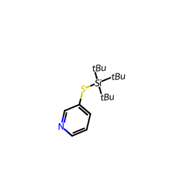 CC(C)(C)[Si](Sc1cccnc1)(C(C)(C)C)C(C)(C)C